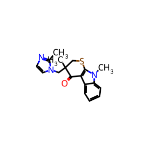 Cc1nccn1CC1(C)CSc2c(c3ccccc3n2C)C1=O